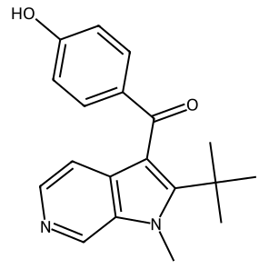 Cn1c(C(C)(C)C)c(C(=O)c2ccc(O)cc2)c2ccncc21